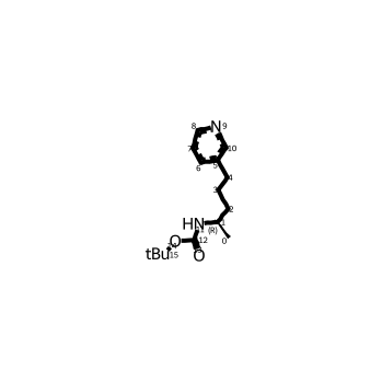 C[C@H](CCCc1cccnc1)NC(=O)OC(C)(C)C